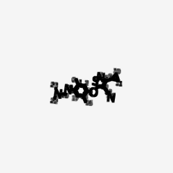 Cc1cc(Oc2snc(C3CC3)c2C#N)c(C)cc1N=CN(C)C